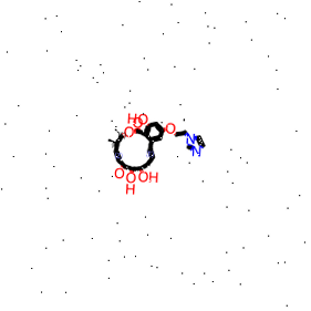 C[C@@H]1/C=C\C(=O)C(O)C(O)C/C=C/c2cc(OCCn3ccnc3)cc(O)c2C(=O)O[C@H]1C